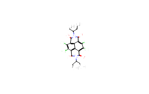 CCC(CC)N1C(=O)c2c(Cl)c(Cl)c3c4c(c(Cl)c(Cl)c(c24)C1=O)C(=O)N(C(CC)CC)C3=O